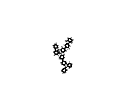 c1ccc(-n2c3ccccc3c3cc(-c4ccc(N(c5ccc(-c6ccc7c(c6)sc6ccccc67)cc5)c5cccc6c5sc5ccccc56)cc4)ccc32)cc1